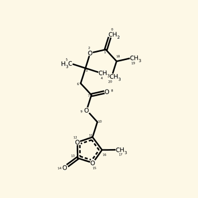 C=C(OC(C)(C)CC(=O)OCc1oc(=O)oc1C)C(C)C